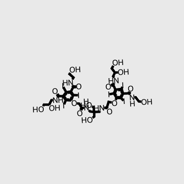 O=C(COc1c(I)c(C(=O)NCCO)c(I)c(C(=O)NCC(O)CO)c1I)NCC(CO)(CO)CNC(=O)COc1c(I)c(C(=O)NCCO)c(I)c(C(=O)NCC(O)CO)c1I